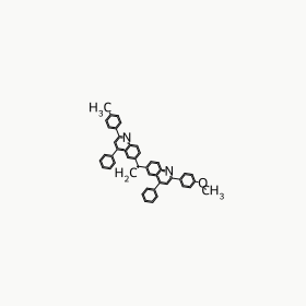 C=C(c1ccc2nc(-c3ccc(C)cc3)cc(-c3ccccc3)c2c1)c1ccc2nc(-c3ccc(OC)cc3)cc(-c3ccccc3)c2c1